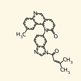 CC(C)=CC(=O)n1cnc2ccc(-n3c(=O)ccc4cnc5ccc(C)cc5c43)cc21